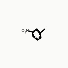 [C]c1cccc([N+](=O)[O-])c1